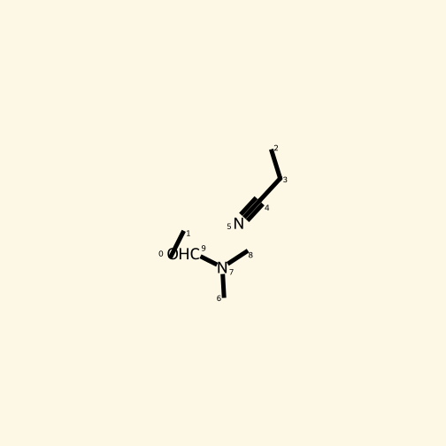 CC.CCC#N.CN(C)C=O